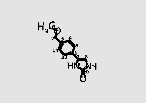 COCc1ccc(-c2c[nH]c(=O)[nH]2)cc1